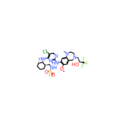 COc1cc2c(cc1Nc1ncc(Cl)c(N[C@@H]3CCCC[C@@H]3CN[SH](=O)=O)n1)N(C)CCN(C[C@@H](O)C(F)(F)F)C2